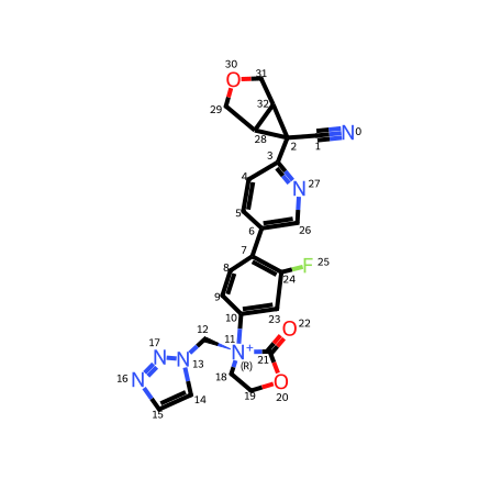 N#CC1(c2ccc(-c3ccc([N@@+]4(Cn5ccnn5)CCOC4=O)cc3F)cn2)C2COCC21